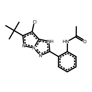 CC(=O)Nc1ccccc1-c1nn2nc(C(C)(C)C)c(Cl)c2[nH]1